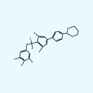 Fc1cc(OC(F)(F)c2c(F)cc(-c3ccc(C4OCCCO4)cc3)cc2F)cc(F)c1F